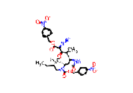 CCCCN(C(=O)OCc1ccc([N+](=O)[O-])cc1)[C@H](C)[C@H]1C(=O)N[C@@H]1C(C)C(=O)C(=[N+]=[N-])C(=O)OCc1ccc([N+](=O)[O-])cc1